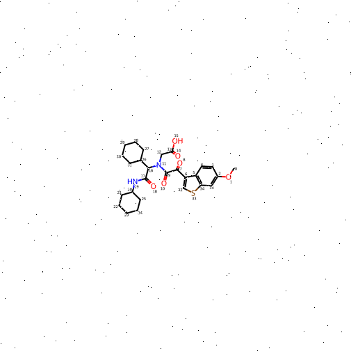 COc1ccc2c(C(=O)C(=O)N(CC(=O)O)C(C(=O)NC3CCCCC3)C3CCCCC3)csc2c1